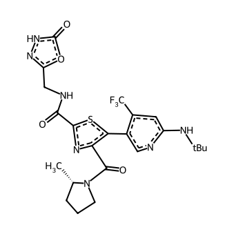 C[C@H]1CCCN1C(=O)c1nc(C(=O)NCc2n[nH]c(=O)o2)sc1-c1cnc(NC(C)(C)C)cc1C(F)(F)F